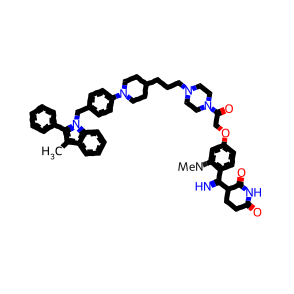 CNc1cc(OCC(=O)N2CCN(CCCC3CCN(c4ccc(Cn5c(-c6ccccc6)c(C)c6ccccc65)cc4)CC3)CC2)ccc1C(=N)C1CCC(=O)NC1=O